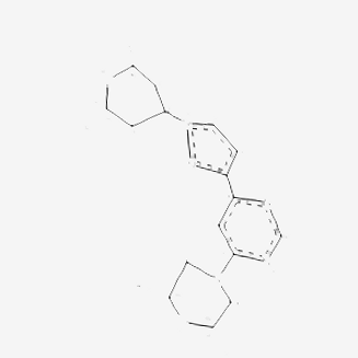 C[C@@H]1CC(n2ccc(-c3cc(N4C[C@@H](C)O[C@@H](C)C4)ncn3)n2)C[C@H](C)O1